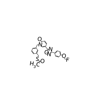 CC(=O)SCc1cccc(Cn2cc(-c3nc(-c4ccc(OCF)cc4)no3)ccc2=O)c1